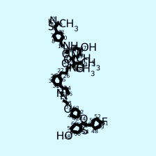 Cc1ncsc1-c1ccc(CNC(=O)[C@@H]2C[C@@H](O)CN2C(=O)C(NC(=O)CCc2cccc(-c3ccn(CCOc4ccc(Oc5c(-c6ccc(F)cc6)sc6cc(O)ccc56)cc4)n3)c2)C(C)(C)C)cc1